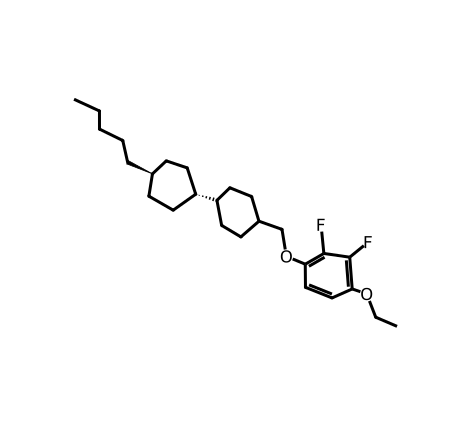 CCCCC[C@H]1CC[C@H](C2CCC(COc3ccc(OCC)c(F)c3F)CC2)CC1